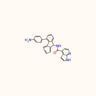 Nc1ccc(-c2cccc3c2-c2ccccc2C3NC(=O)c2ccnc3[nH]ccc23)cc1